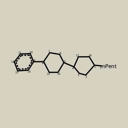 CCCCCC1CCC(C2CCC(c3c[c]ccc3)CC2)CC1